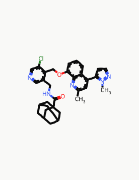 Cc1cc(-c2ccnn2C)c2cccc(OCc3c(Cl)cncc3CNC(=O)C34CC5CC(CC(C5)C3)C4)c2n1